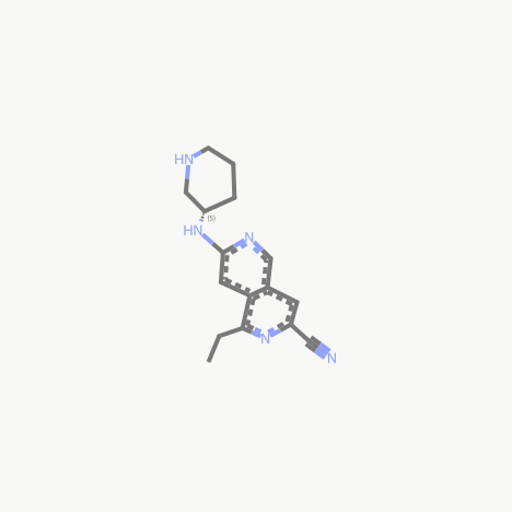 CCc1nc(C#N)cc2cnc(N[C@H]3CCCNC3)cc12